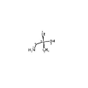 CC[C@](C)(O)CN